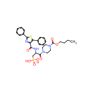 CCCCOC(=O)N1CCN(C(=O)C(CP(=O)(O)O)NC(=O)c2nc(-c3ccccc3)sc2-c2ccccc2)CC1